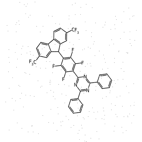 Fc1c(F)c(C2c3cc(C(F)(F)F)ccc3-c3ccc(C(F)(F)F)cc32)c(F)c(F)c1-c1nc(-c2ccccc2)nc(-c2ccccc2)n1